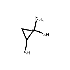 NC1(S)CC1S